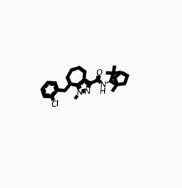 Cn1nc(C(=O)N[C@H]2C3(C)CCC(C3)C2(C)C)c2c1C(Cc1ccccc1Cl)CCCC2